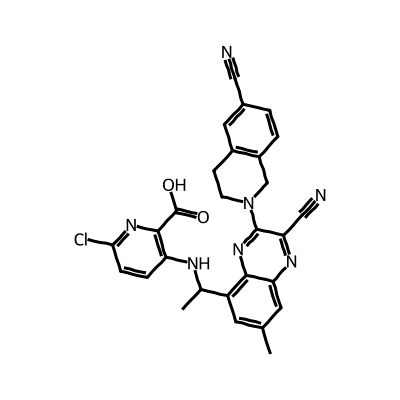 Cc1cc(C(C)Nc2ccc(Cl)nc2C(=O)O)c2nc(N3CCc4cc(C#N)ccc4C3)c(C#N)nc2c1